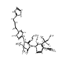 CC1(C)C(=O)N(c2ccc(C#N)c(C(F)(F)F)c2F)C(=S)N1c1ccc(CCCc2nccs2)nc1